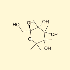 CC1(C)O[C@](O)(CO)C(C)(O)C(C)(O)C1(C)O